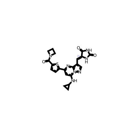 O=C1NC(=O)/C(=C/c2cnn3c(NC4CC4)cc(-c4ccc(C(=O)N5CCC5)s4)nc23)N1